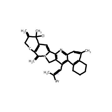 C=C1C2=C(C=C3c4nc5cc(C)c6c(c5c(/C=C(\C)C(C)C)c4CN13)CCCC6)C(C)(Cl)C(=C)CC2